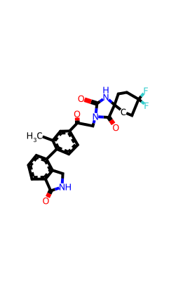 Cc1cc(C(=O)CN2C(=O)NC3(CCC(F)(F)CC3)C2=O)ccc1-c1cccc2c1CNC2=O